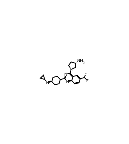 N[C@H]1CCN(c2nc(C3CCC(=NC4CC4)CC3)nc3ccc(C(F)F)cc23)C1